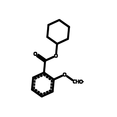 O=[C]Oc1ccccc1C(=O)OC1CCCCC1